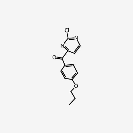 CCCOc1ccc(C(=O)c2ccnc(Cl)n2)cc1